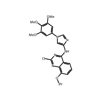 COc1cc(-n2cnc(Nc3nc(Cl)nc4c(OC(C)C)cccc34)c2)cc(OC)c1OC